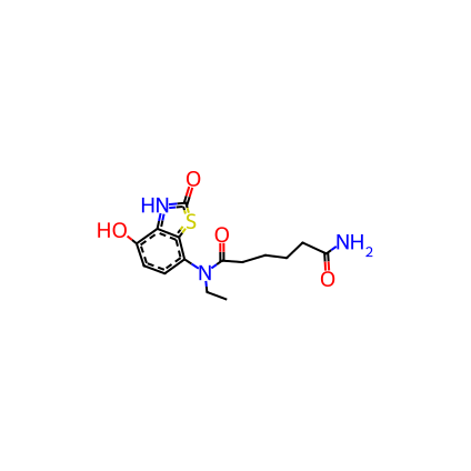 CCN(C(=O)CCCCC(N)=O)c1ccc(O)c2[nH]c(=O)sc12